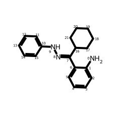 Nc1ccccc1C(=NNc1ccccc1)C1CCCCC1